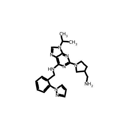 CC(C)n1cnc2c(NCc3ccccc3-n3cccn3)nc(N3CCC(CN)C3)nc21